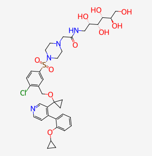 O=C(CN1CCN(S(=O)(=O)c2ccc(Cl)c(COC3(c4cnccc4-c4ccccc4OC4CC4)CC3)c2)CC1)NC[C@H](O)[C@@H](O)[C@H](O)[C@H](O)CO